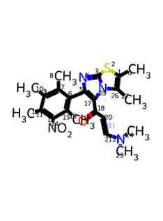 Cc1sc2nc(-c3c(C)c(C)c(C)c([N+](=O)[O-])c3C)c(C(=O)/C=C/N(C)C)n2c1C